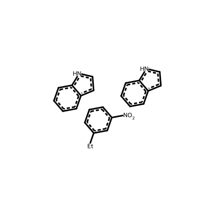 CCc1cccc([N+](=O)[O-])c1.c1ccc2[nH]ccc2c1.c1ccc2[nH]ccc2c1